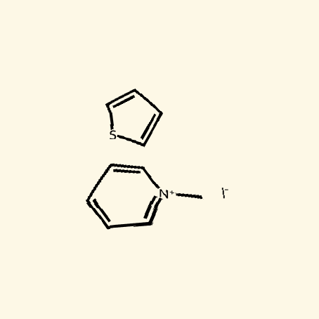 C[n+]1ccccc1.[I-].c1ccsc1